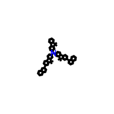 CC1(C)c2ccccc2-c2ccc(N(c3ccc4c(c3)C(C)(C)c3cc(-c5ccc6ccccc6c5)ccc3-4)c3ccc4c(c3)C(C)(C)c3cc(-c5cccc6ccccc56)ccc3-4)cc21